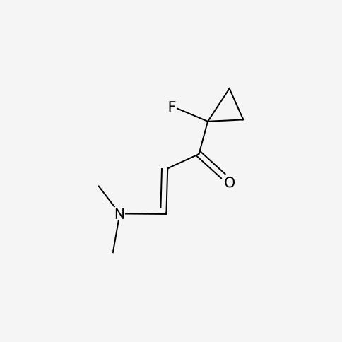 CN(C)C=CC(=O)C1(F)CC1